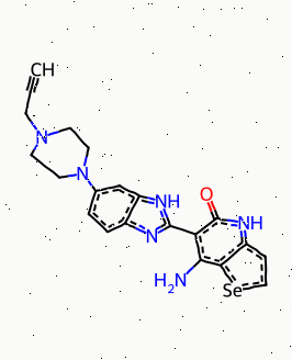 C#CCN1CCN(c2ccc3nc(-c4c(N)c5[se]ccc5[nH]c4=O)[nH]c3c2)CC1